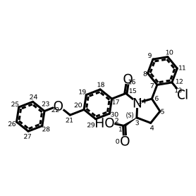 O=C(O)[C@@H]1CCC(c2ccccc2Cl)N1C(=O)c1ccc(COc2ccccc2)cc1